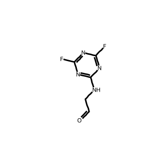 O=CCNc1nc(F)nc(F)n1